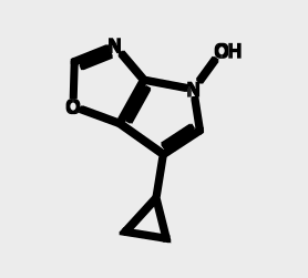 On1cc(C2CC2)c2ocnc21